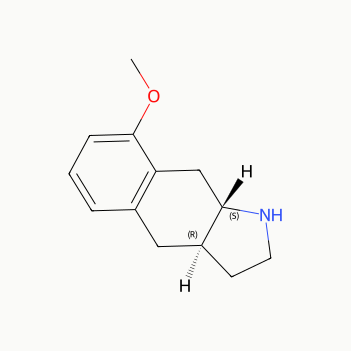 COc1cccc2c1C[C@@H]1NCC[C@H]1C2